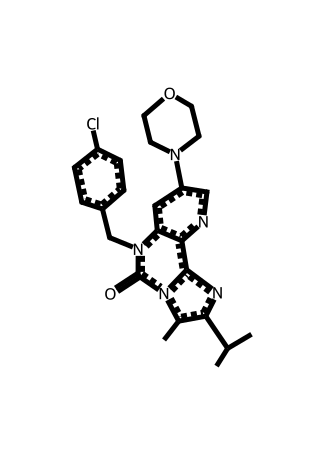 Cc1c(C(C)C)nc2c3ncc(N4CCOCC4)cc3n(Cc3ccc(Cl)cc3)c(=O)n12